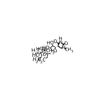 CCC(C)(O)P(=O)(O)O[C@](C)(CC)C[C@H]1O[C@@H](c2cn(C)c(=O)[nH]c2=O)[C@H](O)[C@@H]1O